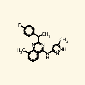 Cc1cc(Nc2nc(C(C)c3ccc(F)cc3)nc3c(C)cccc23)n[nH]1